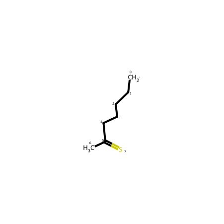 [CH2]CCCCC(C)=S